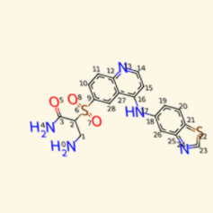 NCC(C(N)=O)S(=O)(=O)c1ccc2nccc(Nc3ccc4scnc4c3)c2c1